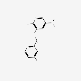 Cc1ccnc([C@@H](C)Oc2cc(B(O)O)cnc2N)c1